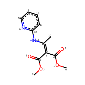 COC(=O)C(C(=O)OC)=C(C)Nc1ccccn1